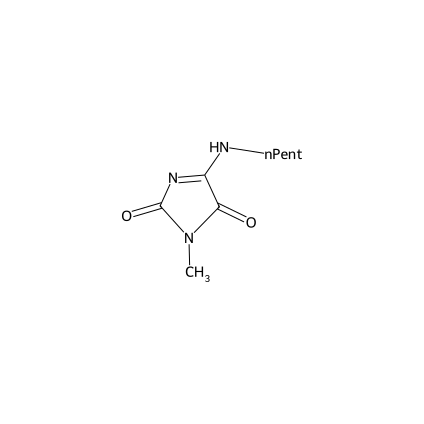 CCCCCNC1=NC(=O)N(C)C1=O